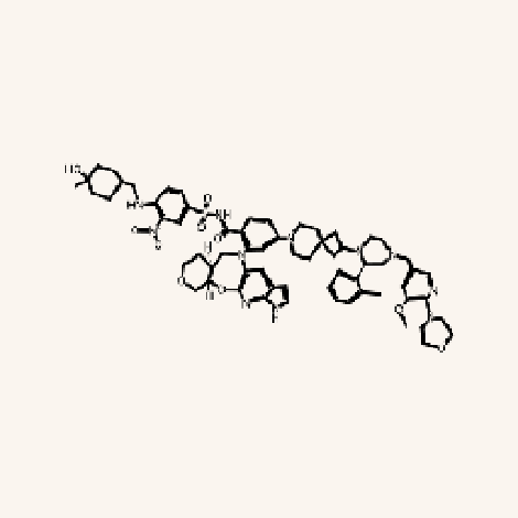 COc1cc(CN2CCN(C3CC4(CCN(c5ccc(C(=O)NS(=O)(=O)c6ccc(NCC7CCC(C)(O)CC7)c([N+](=O)[O-])c6)c(N6C[C@@H]7CCOC[C@H]7Oc7nc8[nH]ccc8cc76)c5)CC4)C3)[C@H](c3ccccc3C)C2)cnc1N1CCOCC1